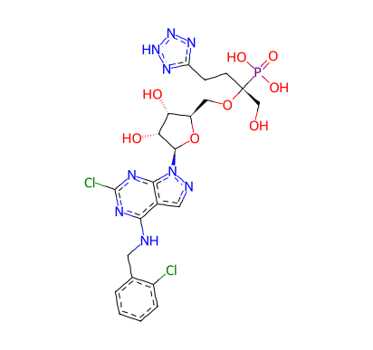 O=P(O)(O)[C@@](CO)(CCc1nn[nH]n1)OC[C@H]1O[C@@H](n2ncc3c(NCc4ccccc4Cl)nc(Cl)nc32)[C@H](O)[C@@H]1O